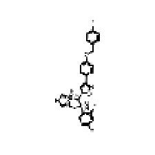 C[C@@H](c1cc(-c2ccc(OCc3ccc(F)cc3)cc2)no1)[C@](O)(Cn1cncn1)c1ccc(F)cc1F